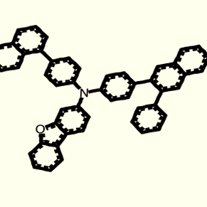 c1ccc(-c2cc3ccccc3cc2-c2ccc(N(c3ccc(-c4cccc5ccccc45)cc3)c3ccc4c(c3)oc3ccccc34)cc2)cc1